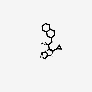 OC(CC1CCC2CCCCC2C1)c1c(C2CC2)sc2cncn12